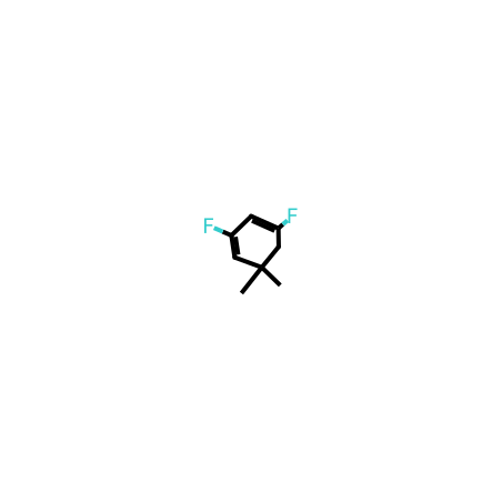 CC1(C)C=C(F)C=C(F)C1